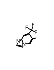 Cc1cn2ccnc2cc1C(F)(F)F